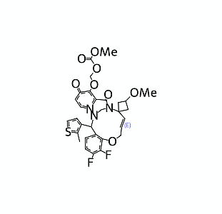 COC(=O)OCOc1c2n(ccc1=O)N1CN(C2=O)C2(/C=C/COc3c(ccc(F)c3F)C1c1ccsc1C)CC(OC)C2